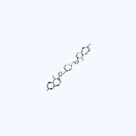 Cc1ccc2c(C)c(OCc3ccc(COc4ccc5cc(C)ccc5c4C)cc3)ccc2c1